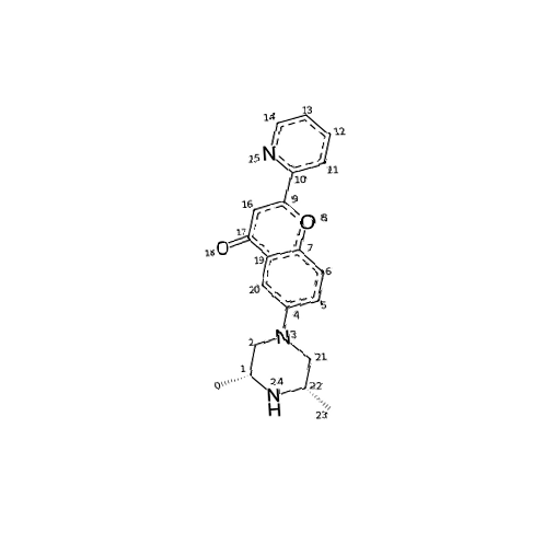 C[C@@H]1CN(c2ccc3oc(-c4ccccn4)cc(=O)c3c2)C[C@H](C)N1